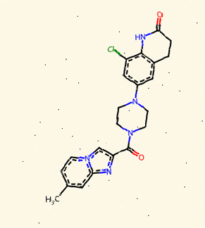 Cc1ccn2cc(C(=O)N3CCN(c4cc(Cl)c5c(c4)CCC(=O)N5)CC3)nc2c1